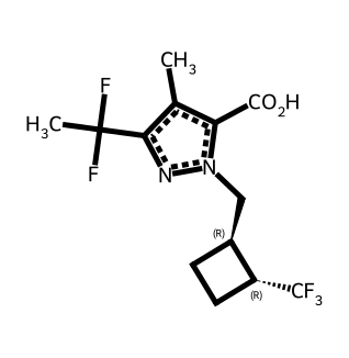 Cc1c(C(C)(F)F)nn(C[C@@H]2CC[C@H]2C(F)(F)F)c1C(=O)O